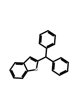 c1ccc(C(c2ccccc2)c2cc3ccccc3o2)cc1